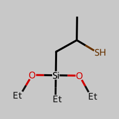 CCO[Si](CC)(CC(C)S)OCC